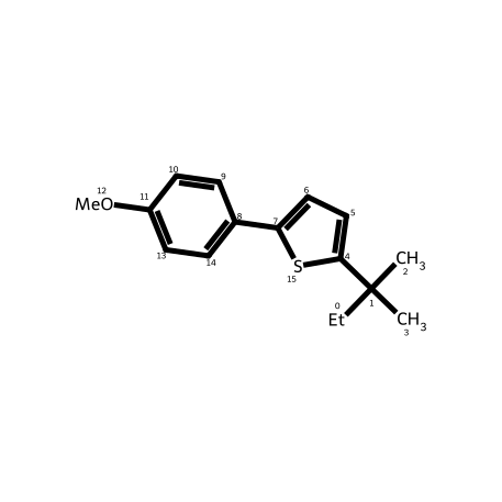 CCC(C)(C)c1ccc(-c2ccc(OC)cc2)s1